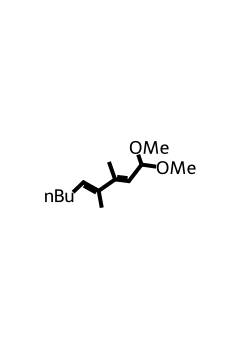 CCCC/C=C(C)/C(C)=C/C(OC)OC